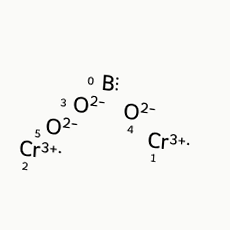 [B].[Cr+3].[Cr+3].[O-2].[O-2].[O-2]